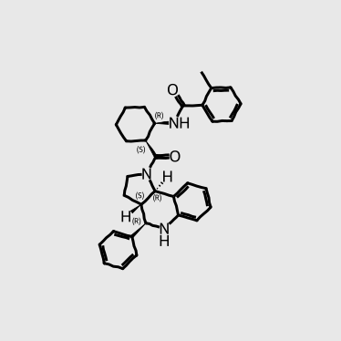 Cc1ccccc1C(=O)N[C@@H]1CCCC[C@@H]1C(=O)N1CC[C@H]2[C@H](c3ccccc3)Nc3ccccc3[C@@H]21